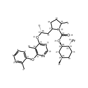 Cc1ncccc1Oc1ncnc(O[C@H](C)CC2CCC(C)N2C(=O)O[C@@H]2C[C@H](C)CC[C@H]2C(C)C)c1C